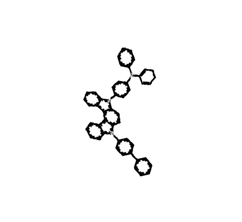 C1=CC(N(c2ccccc2)c2ccc(-n3c4ccccc4c4c5c6ccccc6n(-c6ccc(-c7ccccc7)cc6)c5ccc43)cc2)=CCC1